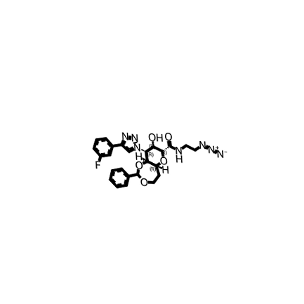 [N-]=[N+]=NCCNC(=O)[C@@H]1O[C@@H]2CCOC(c3ccccc3)O[C@@H]2[C@H](n2cc(-c3cccc(F)c3)nn2)[C@H]1O